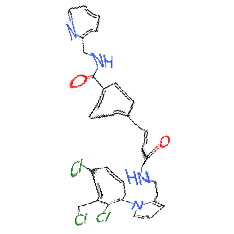 O=C(/C=C/c1ccc(C(=O)NCc2ccccn2)cc1)NCc1cccn1-c1ccc(Cl)c(CCl)c1Cl